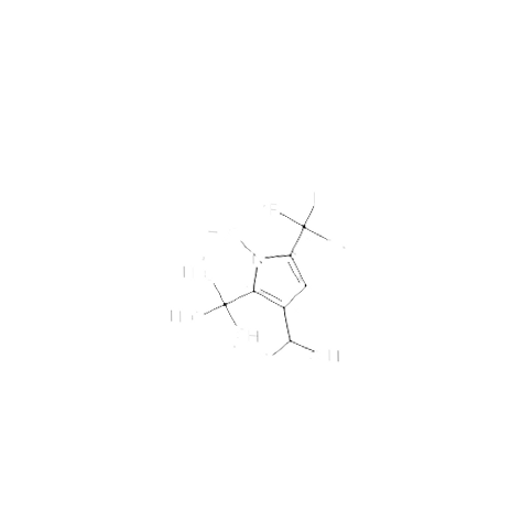 CC(C)c1cc(C(F)(F)F)n(C)c1C(C)(C)C